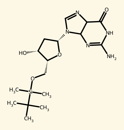 CC(C)(C)[Si](C)(C)OC[C@H]1O[C@@H](N2C=NC3C(=O)NC(N)=NC32)C[C@H]1O